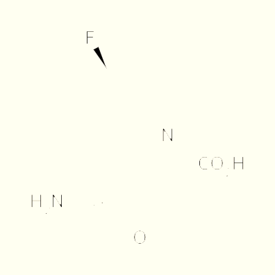 C[C@H]1[C@H](F)C[C@@H](C(N)=O)N1C(=O)O